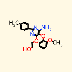 COc1ccccc1Oc1c(N)nc(-c2ccc(C)cc2)nc1OCCO